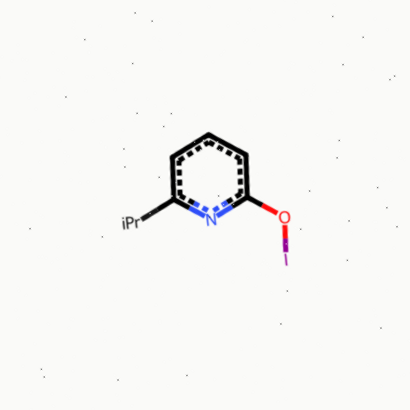 CC(C)c1cccc(OI)n1